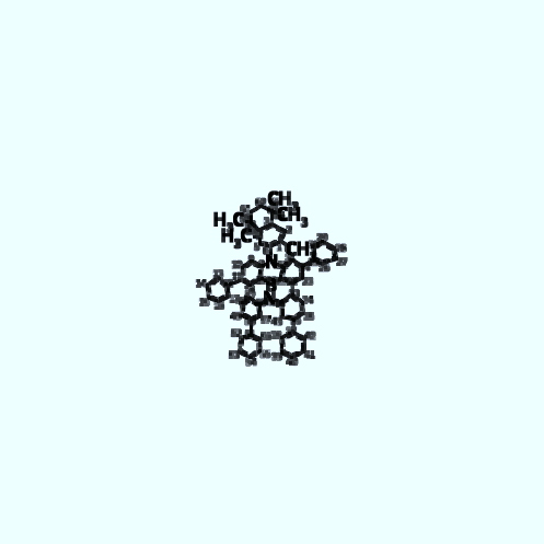 Cc1cc2c(cc1N1c3ccc(-c4ccccc4)cc3B3c4c(cc(-c5ccccc5)cc41)-c1ccc(-c4ccccc4)cc1N3c1cccc(-c3ccccc3)c1)C(C)(C)CCC2(C)C